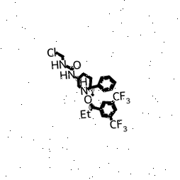 CC[C@@H](OC[C@@]1(c2ccccc2)CC[C@H](NC(=O)NCCl)CN1)c1cc(C(F)(F)F)cc(C(F)(F)F)c1